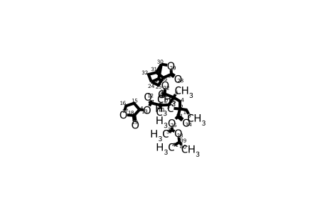 CCC(C)(CC(C)(CC(C)(C)C(=O)OC1CCOC1=O)C(=O)OC1C2CC3C(=O)OC1C3C2)C(=O)OC(C)OC(C)C